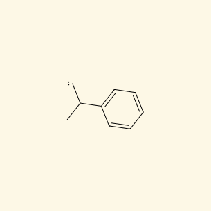 [CH]C(C)c1ccccc1